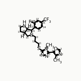 Cc1ncoc1-c1nnc(SCCCN2C[C@@H]3CCN[C@@H]3C2c2ccc(C(F)(F)F)cc2F)n1C